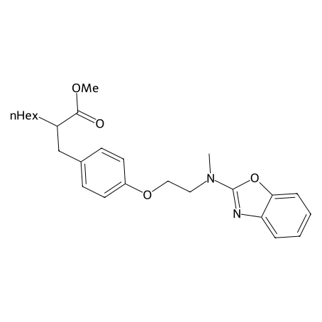 CCCCCCC(Cc1ccc(OCCN(C)c2nc3ccccc3o2)cc1)C(=O)OC